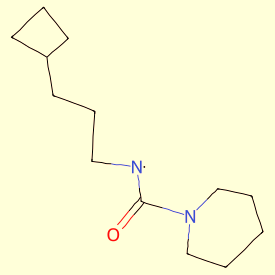 O=C([N]CCCC1CCC1)N1CCCCC1